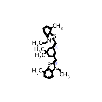 CCN1/C(=C/C2=CC(=C/c3sc4c(C)cccc4[n+]3CC)/CC(C)(C)C2)Sc2c(C)cccc21